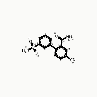 N#Cc1ccc(-c2cccc(S(N)(=O)=O)c2)c(C(N)=O)c1